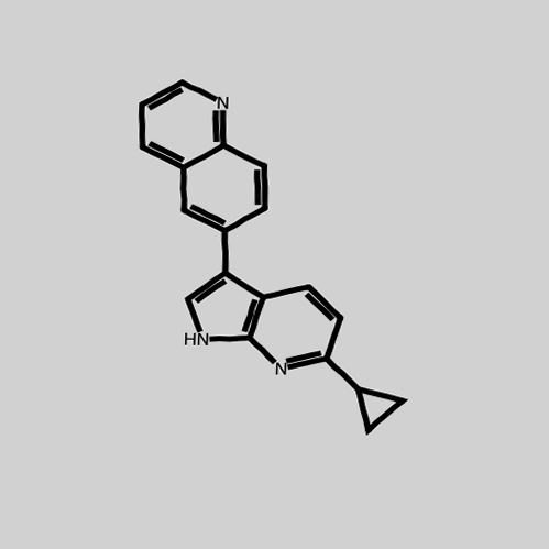 c1cnc2ccc(-c3c[nH]c4nc(C5CC5)ccc34)cc2c1